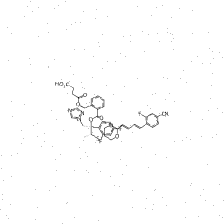 C[C@@H](S[C@H]1CO[C@H](/C=C/C=C/c2ccc(C#N)cc2F)OC1)[C@@](Cn1cncn1)(OC(=O)c1ccccc1COC(=O)CCC(=O)O)c1ccc(F)cc1F